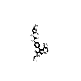 CN1N=C(C(C)(C)C)CC1NC(=O)Nc1ccc(-c2c(C(=O)NCC(F)(F)F)cn3ncnc(N)c23)cc1